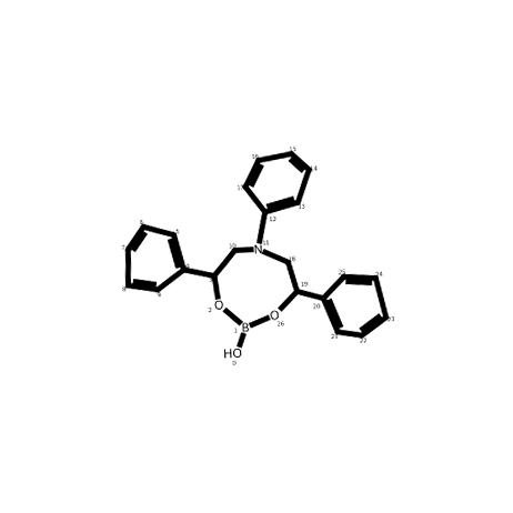 OB1OC(c2ccccc2)CN(c2ccccc2)CC(c2ccccc2)O1